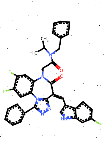 CC(C)N(Cc1ccccc1)C(=O)CN1C(=O)/C(=C/c2c[nH]c3cc(F)ccc23)c2nnc(-c3ccccc3)n2-c2cc(F)c(F)cc21